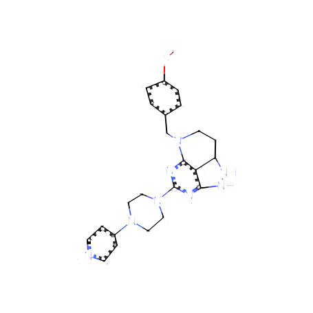 COc1ccc(CN2CCC3NNc4nc(N5CCN(c6ccncc6)CC5)nc2c43)cc1